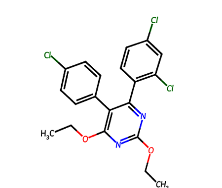 CCOc1nc(OCC)c(-c2ccc(Cl)cc2)c(-c2ccc(Cl)cc2Cl)n1